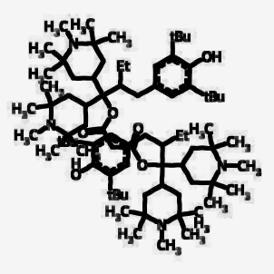 CCC(Cc1cc(C(C)(C)C)c(O)c(C(C)(C)C)c1)C(OC(=O)CC(=O)OC(C(CC)Cc1cc(C(C)(C)C)c(O)c(C(C)(C)C)c1)(C1CC(C)(C)N(C)C(C)(C)C1)C1CC(C)(C)N(C)C(C)(C)C1)(C1CC(C)(C)N(C)C(C)(C)C1)C1CC(C)(C)N(C)C(C)(C)C1